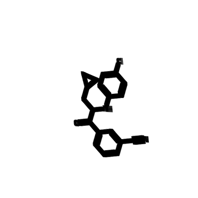 N#Cc1cccc(C(=O)C(CC2CC2)Nc2ccc(Cl)cc2)c1